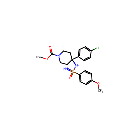 CC(C)(C)OC(=O)N1CCC(NS(=N)(=O)c2ccc(OC(F)(F)F)cc2)(c2ccc(Cl)cc2)CC1